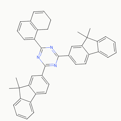 CC1(C)c2ccccc2-c2ccc(-c3nc(-c4ccc5c(c4)C(C)(C)c4ccccc4-5)nc(-c4cccc5c4CCC=C5)n3)cc21